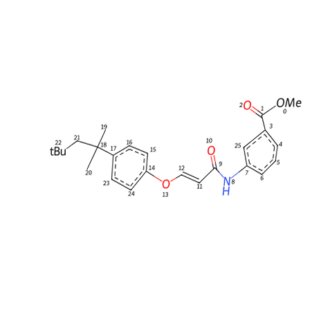 COC(=O)c1cccc(NC(=O)C=COc2ccc(C(C)(C)CC(C)(C)C)cc2)c1